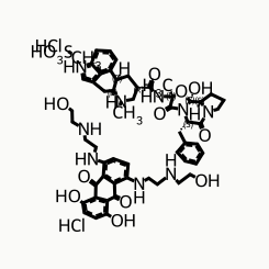 CN1C[C@H](C(=O)N[C@]2(C)O[C@@]3(O)[C@@H]4CCCN4C(=O)[C@H](Cc4ccccc4)N3C2=O)C[C@@H]2c3cccc4[nH]cc(c34)C[C@H]21.CS(=O)(=O)O.Cl.Cl.O=C1c2c(O)ccc(O)c2C(=O)c2c(NCCNCCO)ccc(NCCNCCO)c21